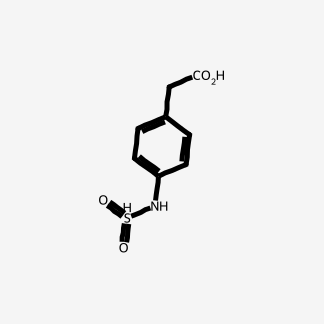 O=C(O)Cc1ccc(N[SH](=O)=O)cc1